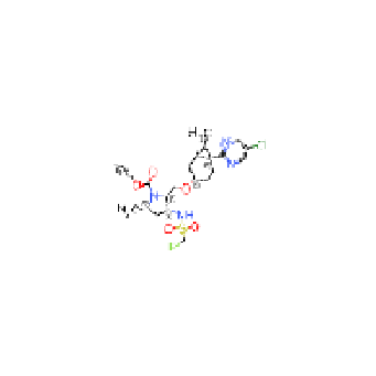 CC(C)OC(=O)N1[C@H](C)C[C@H](NS(=O)(=O)CF)[C@@H]1CO[C@H]1CC[C@@]2(c3ncc(Cl)cn3)C(C)C2C1